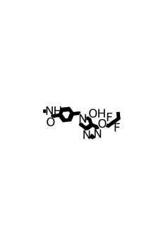 CCC(F)(F)COc1ncnc2c1C(O)N(Cc1ccc(C(=O)NC)cc1)C2